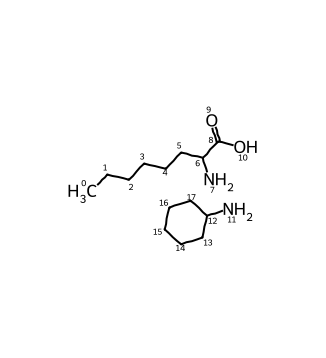 CCCCCCC(N)C(=O)O.NC1CCCCC1